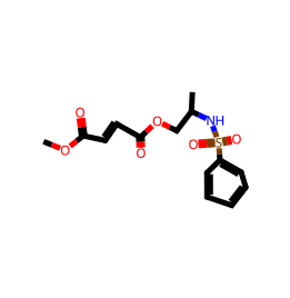 COC(=O)/C=C/C(=O)OCC(C)NS(=O)(=O)c1ccccc1